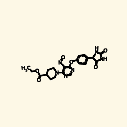 CCOC(=O)C1CCN(c2ncnc(Oc3ccc(C4NC(=O)NC4=O)cc3)c2N=O)CC1